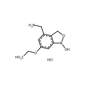 Cl.NCc1cc(OCC(=O)O)cc2c1COB2O